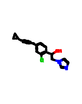 OC(Cn1ccnc1)c1ccc(C#CC2CC2)cc1Cl